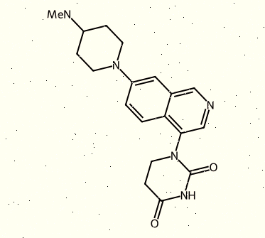 CNC1CCN(c2ccc3c(N4CCC(=O)NC4=O)cncc3c2)CC1